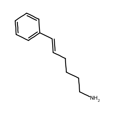 NCCCC/C=C/c1ccccc1